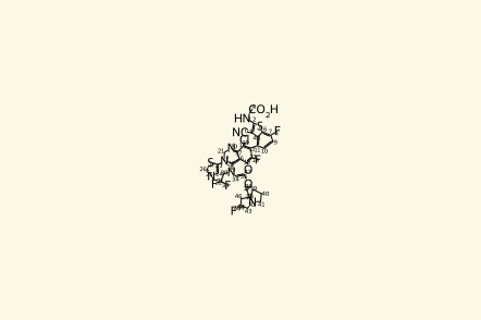 N#Cc1c(NC(=O)O)sc2c(F)ccc(-c3c(F)c4c5c(c3Cl)=NCN(c3cncs3)C=5N(CC(F)F)C=C(OC[C@@]35CCCN3C[C@H](F)C5)O4)c12